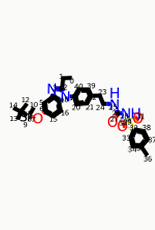 CCc1nc2cc(O[Si](C)(C)C(C)(C)C)ccc2n1-c1ccc(CCNC(=O)NS(=O)(=O)c2ccc(C)cc2)cc1